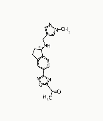 CC(=O)c1nc(-c2ccc3c(c2)CC[C@H]3NCc2cnn(C)c2)no1